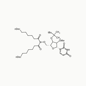 CCCCCCCCCCCCCCCC(=O)N(OC[C@H]1O[C@@H](n2ccc(=O)[nH]c2=O)C(OC)C1O[Si](C)(C)C(C)(C)C)C(=O)CCCCCCCCCCCCCCC